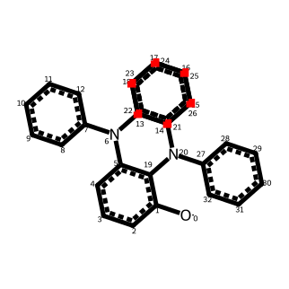 [O]c1cccc(N(c2ccccc2)c2ccccc2)c1N(c1ccccc1)c1ccccc1